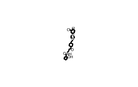 COC(CCCNC(=O)c1ccccc1O)C1CCC(CCN2CCN(c3ccc(Cl)c(Cl)c3)CC2)CC1